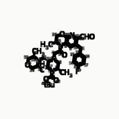 C[C@@H]1CN(CC(=O)N2c3cc(Cc4ccc(F)cc4)c(C=O)nc3OC[C@@H]2C)[C@@H](CN2[C@H](C)COC[C@H]2C)CN1C(=O)OC(C)(C)C